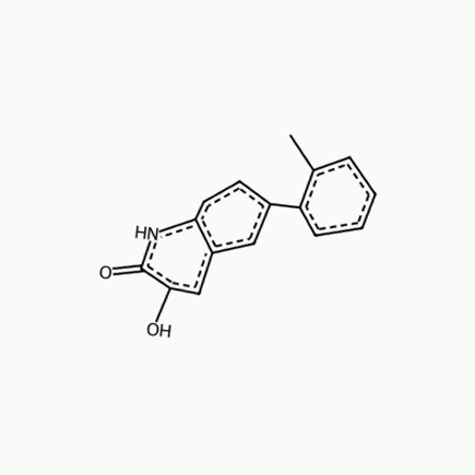 Cc1ccccc1-c1ccc2[nH]c(=O)c(O)cc2c1